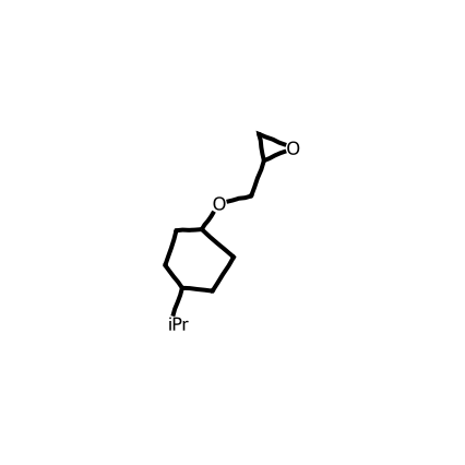 CC(C)C1CCC(OCC2CO2)CC1